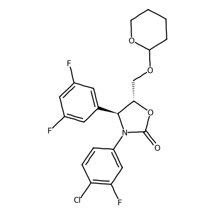 O=C1O[C@@H](COC2CCCCO2)[C@H](c2cc(F)cc(F)c2)N1c1ccc(Cl)c(F)c1